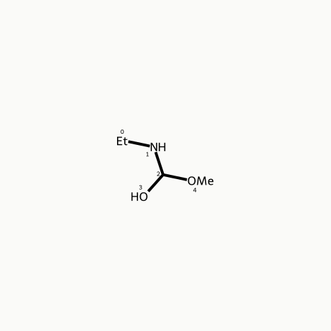 CCNC(O)OC